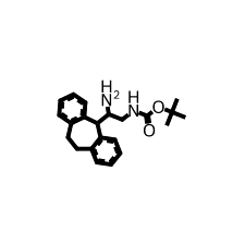 CC(C)(C)OC(=O)NCC(N)C1c2ccccc2CCc2ccccc21